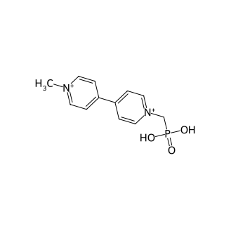 C[n+]1ccc(-c2cc[n+](CP(=O)(O)O)cc2)cc1